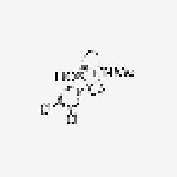 CN[C@@H]1CCC[C@H]1[C@@H](O)C1(c2ccc(Cl)c(Cl)c2)CCC1